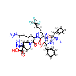 NCCCCC(NC(=O)C(CCCCC(F)(F)F)NC(=O)C(Cc1ccccc1)NC(=O)C(N)Cc1ccccc1)C(=O)N1CCC(N)(C(=O)O)CC1